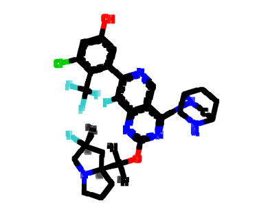 [2H]C([2H])(Oc1nc(N2CC3CCC2CN3)c2cnc(-c3cc(O)cc(Cl)c3C(F)(F)F)c(F)c2n1)[C@@]12CCCN1C[C@]([2H])(F)C2